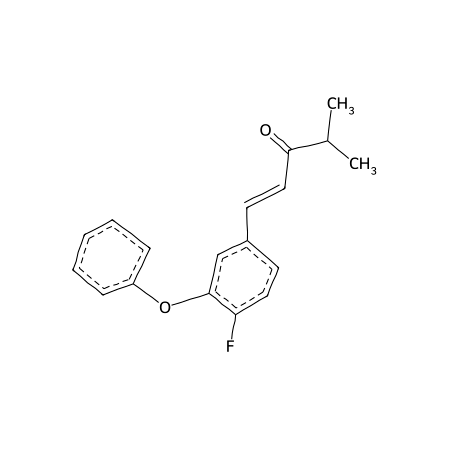 CC(C)C(=O)C=Cc1ccc(F)c(Oc2ccccc2)c1